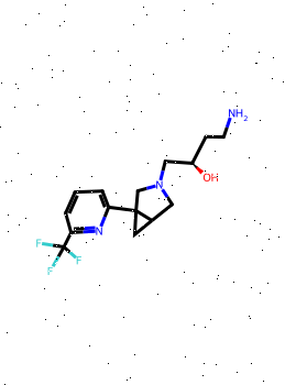 NCC[C@@H](O)CN1CC2CC2(c2cccc(C(F)(F)F)n2)C1